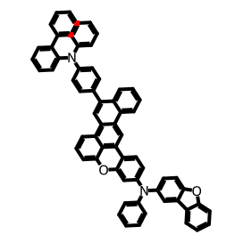 c1ccc(-c2ccccc2N(c2ccccc2)c2ccc(-c3cc4c5cccc6c5c(cc4c4ccccc34)-c3ccc(N(c4ccccc4)c4ccc5oc7ccccc7c5c4)cc3O6)cc2)cc1